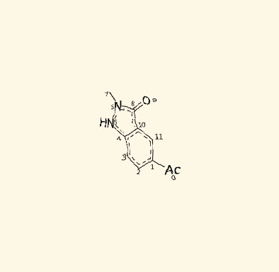 CC(=O)c1ccc2[nH]n(C)c(=O)c2c1